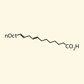 CCCCCCCC/C=C/C/C=C/CCCCCCC(=O)O